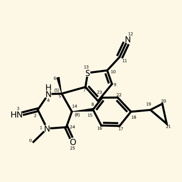 CN1C(=N)N[C@](C)(c2ccc(C#N)s2)[C@@H](c2ccc(C3CC3)cc2)C1=O